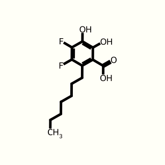 CCCCCCCc1c(F)c(F)c(O)c(O)c1C(=O)O